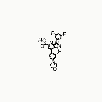 CC(C)c1nn(-c2cc(F)cc(F)c2)c2nc(C(=O)O)cc(-c3ccc(N4CCOCC4)cc3)c12